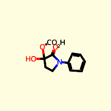 O=C(O)OC1(O)CCN(c2ccccc2)C1=O